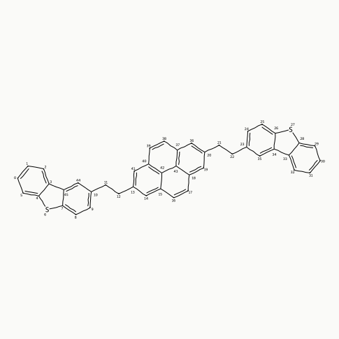 c1ccc2c(c1)sc1ccc(CCc3cc4ccc5cc(CCc6ccc7sc8ccccc8c7c6)cc6ccc(c3)c4c56)cc12